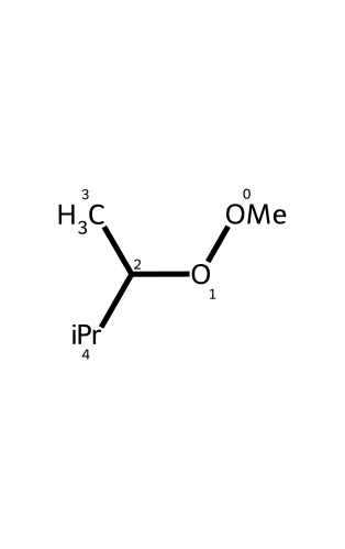 COOC(C)C(C)C